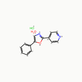 Cl.O.c1ccc(-c2cnc(-c3ccncc3)o2)cc1